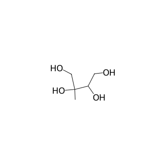 CC(O)(CO)C(O)CO